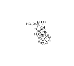 CC(=O)[C@H]1CC[C@H]2[C@@H]3CC[C@@H]4C[C@H](C(C(=O)O)C(=O)O)CC[C@]4(C)[C@H]3CC[C@]12C